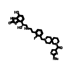 CCCCC1=NC(C(=O)N2CCCC3(CCN(Cc4cccc(CCNC[C@H](O)c5ccc(O)c6[nH]c(=O)sc56)c4F)CC3)C2)CS1